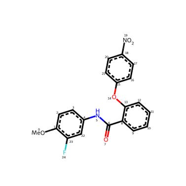 COc1ccc(NC(=O)c2ccccc2Oc2ccc([N+](=O)[O-])cc2)cc1F